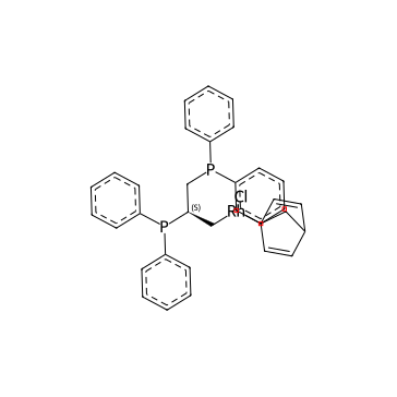 [Cl][Rh]([CH2][C@H](CP(c1ccccc1)c1ccccc1)P(c1ccccc1)c1ccccc1)[C]12C=CC(C=C1)C2